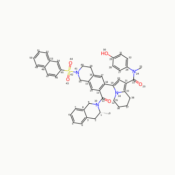 C[C@@H]1Cc2ccccc2CN1C(=O)c1cc2c(cc1-c1cc(C(=O)N(C)c3ccc(O)cc3)c3n1CCCC3)CCN(S(=O)(=O)c1ccc3ccccc3c1)C2